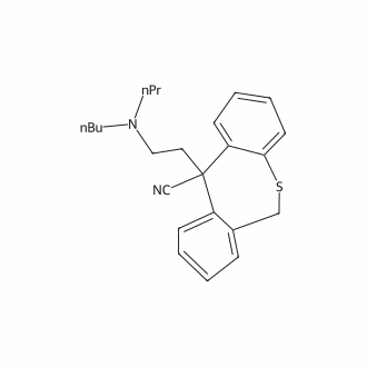 CCCCN(CCC)CCC1(C#N)c2ccccc2CSc2ccccc21